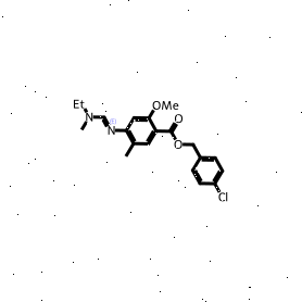 CCN(C)/C=N/c1cc(OC)c(C(=O)OCc2ccc(Cl)cc2)cc1C